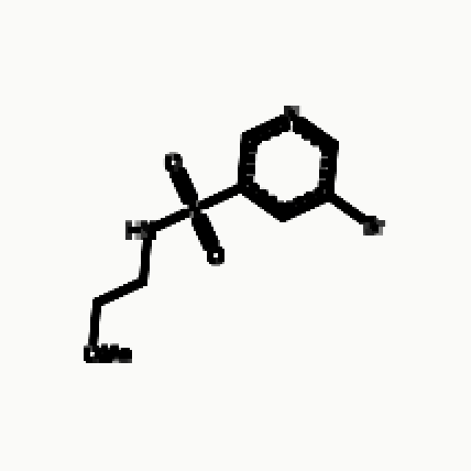 COCCNS(=O)(=O)c1cncc(Br)c1